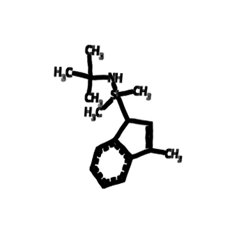 CC1=CC([Si](C)(C)NC(C)(C)C)c2ccccc21